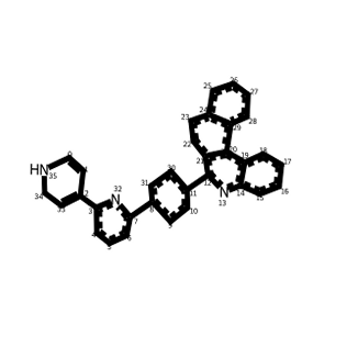 C1=CC(c2cccc(-c3ccc(-c4nc5ccccc5c5c4ccc4ccccc45)cc3)n2)=CCN1